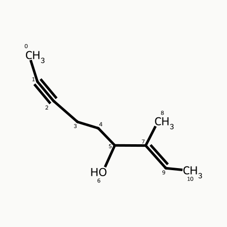 CC#CCCC(O)/C(C)=C/C